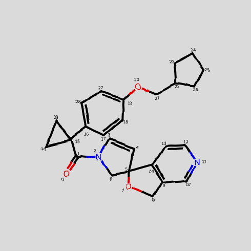 O=C(N1C=CC2(C1)OCc1cnccc12)C1(c2ccc(OCC3CCCC3)cc2)CC1